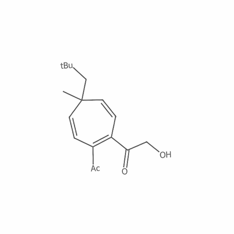 CC(=O)C1=C(C(=O)CO)C=CC(C)(CC(C)(C)C)C=C1